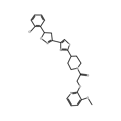 COc1cccnc1OCC(=O)N1CCC(c2nc(C3=NOC(c4[c]cccc4Cl)C3)cs2)CC1